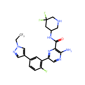 Nc1ncc(-c2cc(-c3cnn(CC(F)(F)F)c3)ccc2F)nc1C(=O)NC1CNCC(F)(F)C1